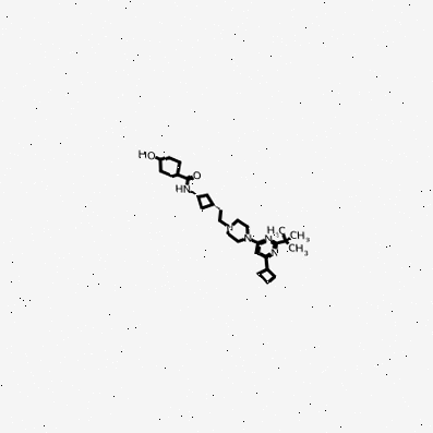 CC(C)(C)c1nc(C2CCC2)cc(N2CCN(CC[C@H]3C[C@H](NC(=O)C4CCC(O)CC4)C3)CC2)n1